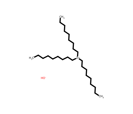 CCCCCCCC[CH2][Zr+]([CH2]CCCCCCCC)[CH2]CCCCCCCC.[OH-]